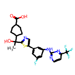 CC(O)(c1ncc(-c2cc(F)cc(Nc3nccc(C(F)(F)F)n3)c2)s1)C1CCC(C(=O)O)CC1